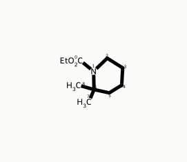 CCOC(=O)N1CC[CH]CC1(C)C